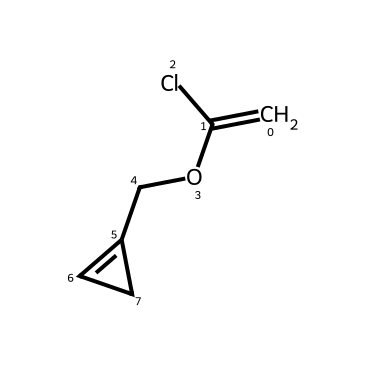 C=C(Cl)OCC1=CC1